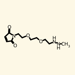 CNNCCOCCOCCN1C(=O)C=CC1=O